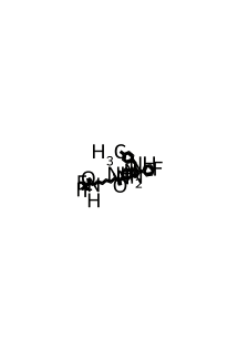 Cc1ccc(Nc2c(-c3ccc(F)cc3)nc3n2CCN(C(=O)[C@H](N)CCCCNC(=O)C(F)(F)F)C3)cc1